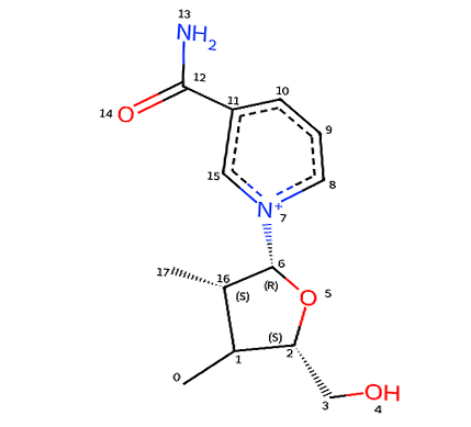 CC1[C@@H](CO)O[C@@H]([n+]2cccc(C(N)=O)c2)[C@H]1C